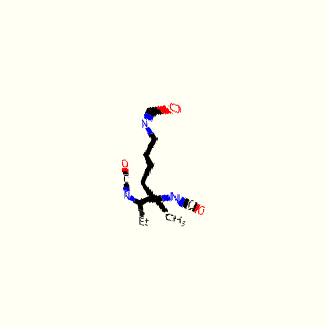 CCC(N=C=O)C(C)(CCCCN=C=O)N=C=O